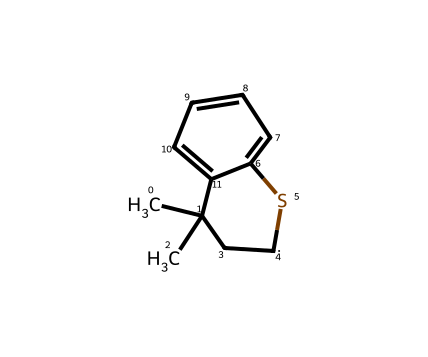 CC1(C)C[CH]Sc2ccccc21